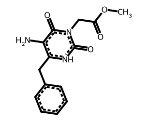 COC(=O)Cn1c(=O)[nH]c(Cc2ccccc2)c(N)c1=O